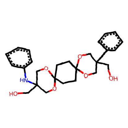 OCC1(Nc2ccccc2)COC2(CCC3(CC2)OCC(CO)(c2ccccc2)CO3)OC1